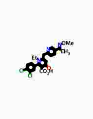 CCn1c(Cc2ccc(/C(C)=N/OC)cn2)cc(=O)c(C(=O)O)c1-c1ccc(Cl)c(Cl)c1